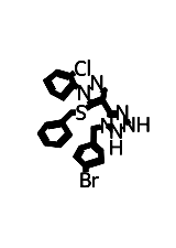 Clc1ccccc1-n1ncc(C2=NNNN2Cc2ccc(Br)cc2)c1SCc1ccccc1